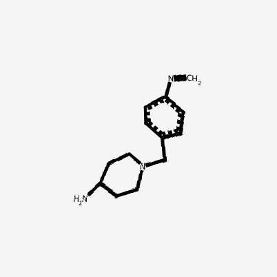 C=Nc1ccc(CN2CCC(N)CC2)cc1